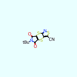 CC(C)(C)n1c(=O)c2sc3nsc(C#N)c3sc=2c1=O